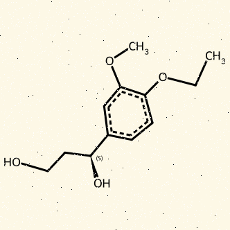 CCOc1ccc([C@@H](O)CCO)cc1OC